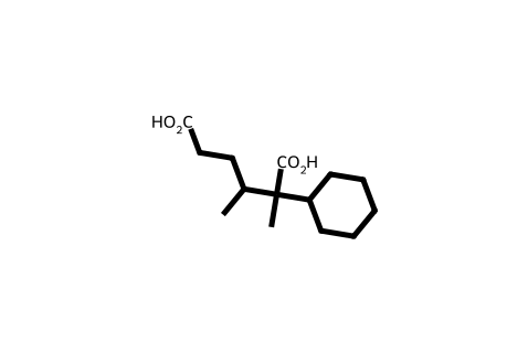 CC(CCC(=O)O)C(C)(C(=O)O)C1CCCCC1